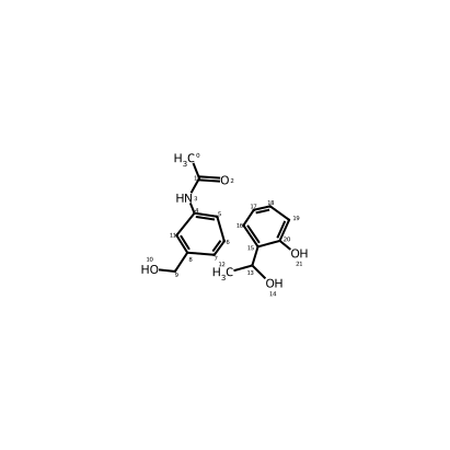 CC(=O)Nc1cccc(CO)c1.CC(O)c1ccccc1O